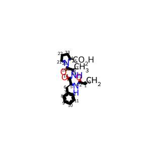 C=CC(=O)N[C@@H](Cc1ccccc1)C(=O)N[C@@H](C)C(=O)N1CCC[C@H]1C(=O)O